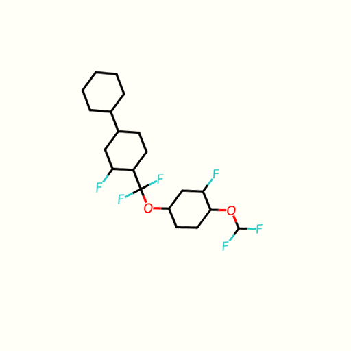 FC(F)OC1CCC(OC(F)(F)C2CCC(C3CCCCC3)CC2F)CC1F